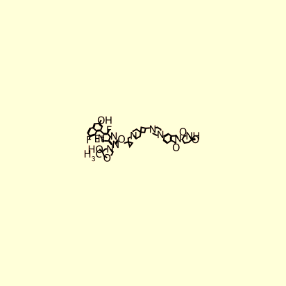 CCc1c(F)ccc2cc(O)cc(-c3ncc4c(N5CCOCC(C)(O)C5)nc(OCC5(CN6CCC7(CC6)CC(CN6CCN(c8ccc9c(c8)CN([C@H]8CCC(=O)NC8=O)C9=O)CC6)C7)CC5)nc4c3F)c12